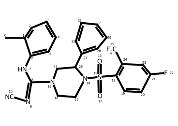 Cc1ccccc1N/C(=N\C#N)N1CCN(S(=O)(=O)c2ccc(F)cc2C(F)(F)F)C(c2ccccc2)C1